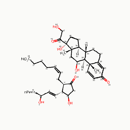 CCCCC[C@H](O)/C=C/[C@H]1[C@H](O)CC(=O)[C@@H]1C/C=C\CCCC(=O)O.C[C@]12C=CC(=O)C=C1CC[C@@H]1[C@@H]2[C@@H](O)C[C@@]2(C)[C@H]1CC[C@]2(O)C(=O)CO